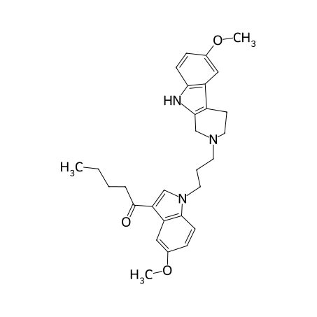 CCCCC(=O)c1cn(CCCN2CCc3c([nH]c4ccc(OC)cc34)C2)c2ccc(OC)cc12